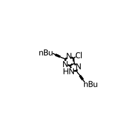 CCCCC#Cc1nc(Cl)c2nc(C#CCCCC)[nH]c2n1